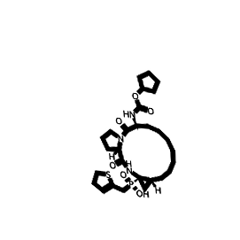 O=C(N[C@H]1CCCCCCC[C@@H]2C[C@@]2(P(=O)(O)CC2=CCCS2)NC(=O)[C@@H]2CCCN2C1=O)OC1CCCC1